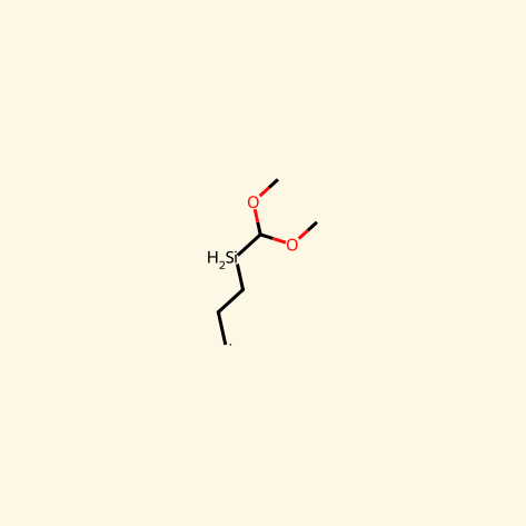 [CH2]CC[SiH2]C(OC)OC